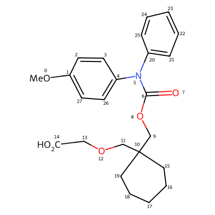 COc1ccc(N(C(=O)OCC2(COCC(=O)O)CCCCC2)c2ccccc2)cc1